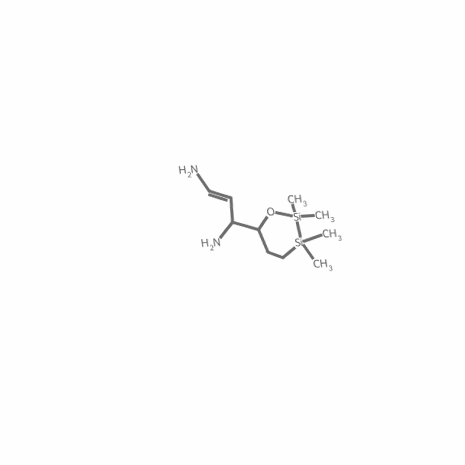 C[Si]1(C)CCC(C(N)C=CN)O[Si]1(C)C